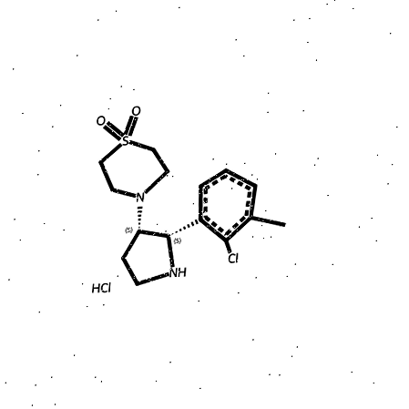 Cc1cccc([C@@H]2NCC[C@@H]2N2CCS(=O)(=O)CC2)c1Cl.Cl